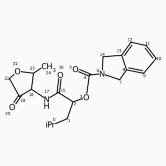 CC(C)CC(OC(=O)N1Cc2ccccc2C1)C(=O)NC1C(=O)COC1C